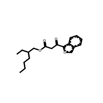 CCCCC(CC)COC(=O)CC(=O)c1occ2ccccc12